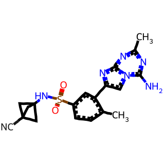 Cc1nc(N)n2cc(-c3cc(S(=O)(=O)NC45CC(C#N)(C4)C5)ccc3C)nc2n1